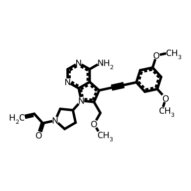 C=CC(=O)N1CCC(n2c(COC)c(C#Cc3cc(OC)cc(OC)c3)c3c(N)ncnc32)C1